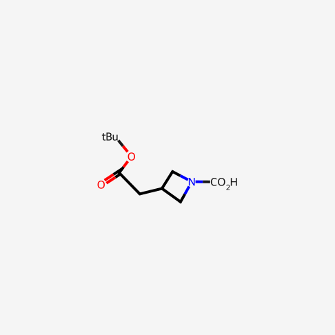 CC(C)(C)OC(=O)CC1CN(C(=O)O)C1